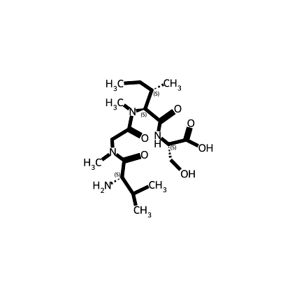 CC[C@H](C)[C@@H](C(=O)N[C@@H](CO)C(=O)O)N(C)C(=O)CN(C)C(=O)[C@@H](N)C(C)C